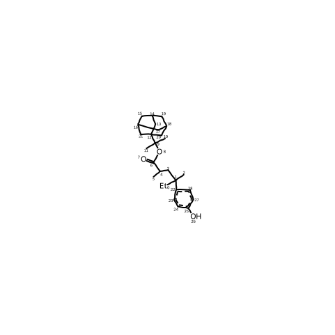 CCC(C)(CC(C)C(=O)OC(C)(C)C12CC3CC(CC(C3)C1)C2)c1ccc(O)cc1